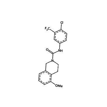 COc1cccc2c1CCN(C(=O)Nc1ccc(Cl)c(C(F)(F)F)c1)C2